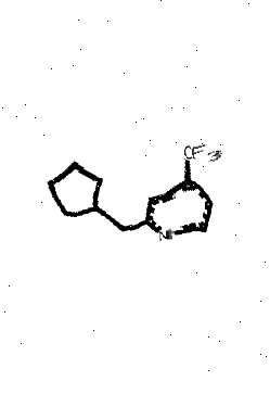 FC(F)(F)c1ccnc(CC2CCCC2)c1